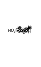 O=C(O)CC(Sc1ccc(NC(=O)c2cccc(NC3=NCCN3)c2)cc1)c1ccccc1